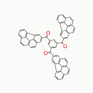 O=C(c1cc(C(=O)c2cc3c4c(ccc5ccc6cccc-3c6c54)c2)cc(C(=O)c2cc3c4c(ccc5ccc6cccc-3c6c54)c2)c1)c1cc2c3c(ccc4ccc5cccc-2c5c43)c1